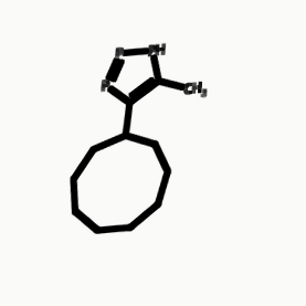 Cc1[pH]ppc1C1CCCCCCCC1